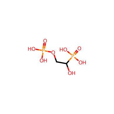 O=P(O)(O)OCC(O)P(=O)(O)O